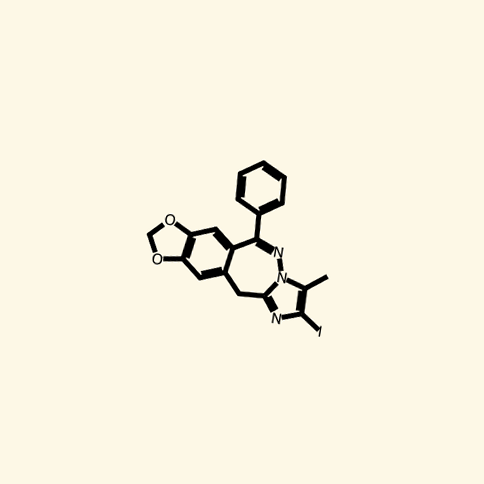 Cc1c(I)nc2n1N=C(c1ccccc1)c1cc3c(cc1C2)OCO3